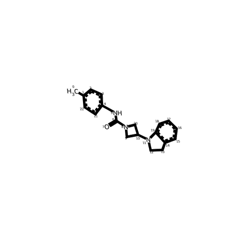 Cc1ccc(NC(=O)N2CC(N3CCc4ccccc43)C2)cc1